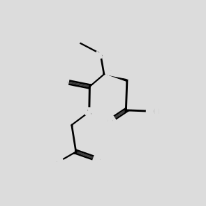 CN[C@@H](CC(=O)O)C(=O)NCC(C)=O